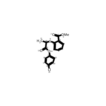 COC(=O)c1ccccc1SC(C)C(=O)Oc1ccc(Cl)cc1